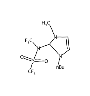 CCCCN1C=CN(C)C1N(C(F)(F)F)S(=O)(=O)C(F)(F)F